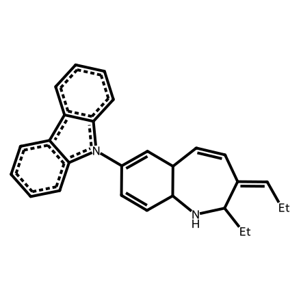 CC/C=C1/C=CC2C=C(n3c4ccccc4c4ccccc43)C=CC2NC1CC